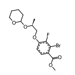 COC(=O)c1ccc(OC[C@H](C)OC2CCCCO2)c(F)c1Br